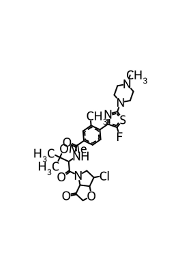 COC(C)(C)C(NC(=O)c1ccc(-c2nc(N3CCN(C)CC3)sc2F)c(C)c1)C(=O)N1CC(Cl)C2OCC(=O)C21